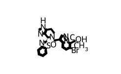 CC(C)(O)c1c(Br)ccc2c(C(=O)N3CCc4[nH]cnc4[C@H]3c3nc4ccccc4s3)cnn12